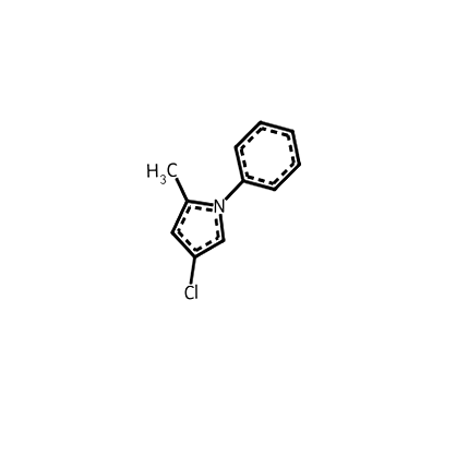 Cc1cc(Cl)cn1-c1ccccc1